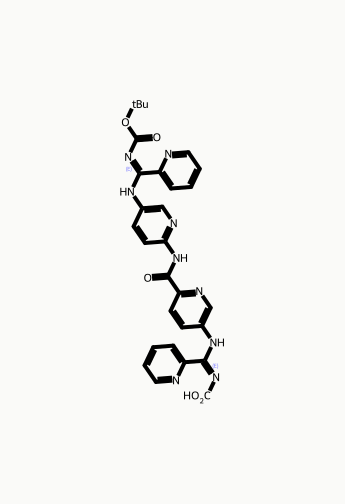 CC(C)(C)OC(=O)/N=C(/Nc1ccc(NC(=O)c2ccc(N/C(=N/C(=O)O)c3ccccn3)cn2)nc1)c1ccccn1